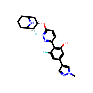 Cn1cc(-c2cc(O)c(-c3ccc(O[C@H]4CC5CCCC(N5)[C@H]4F)nn3)c(F)c2)cn1